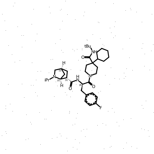 CC(C)N1C[C@H]2C[C@H](C(=O)N[C@H](Cc3ccc(F)cc3)C(=O)N3CCC(C(=O)NC(C)(C)C)(C4CCCCC4)CC3)[C@@H]1C2